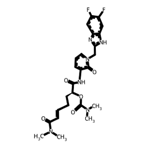 CN(C)C(=O)/C=C/CC[C@H](OC(=O)N(C)C)C(=O)Nc1cccn(Cc2nc3cc(F)c(F)cc3[nH]2)c1=O